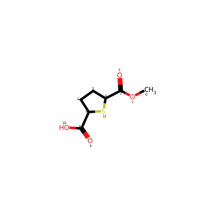 COC(=O)C1CCC(C(=O)O)S1